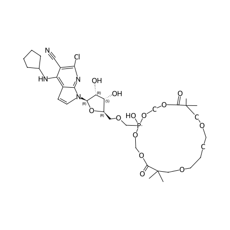 CC1(C)COCCCCOCC(C)(C)C(=O)OCO[P](O)(COC[C@H]2O[C@@H](n3ccc4c(NC5CCCC5)c(C#N)c(Cl)nc43)[C@H](O)[C@@H]2O)OCOC1=O